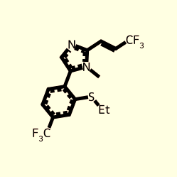 CCSc1cc(C(F)(F)F)ccc1-c1cnc(C=CC(F)(F)F)n1C